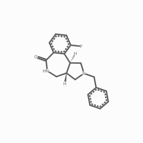 O=C1NC[C@H]2CN(Cc3ccccc3)C[C@@H]2c2c(F)cccc21